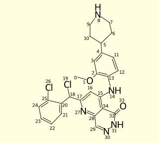 COc1cc(C2CCNCC2)ccc1Nc1cc(C(Cl)c2ccccc2Cl)nc2cn[nH]c(=O)c12